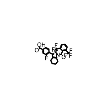 O=C(O)c1ccc(-c2nn(C(=O)c3c(C(F)(F)F)cccc3C(F)(F)F)c3c2CCCC3)c(F)c1